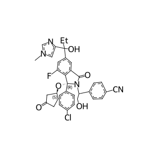 CCC(O)(c1cc(F)c2c(c1)C(=O)N(C(CO)c1ccc(C#N)cc1)[C@@]2(O[C@H]1CCC(=O)C1)c1ccc(Cl)cc1)c1cn(C)cn1